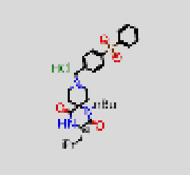 CCCCN1C(=O)[C@H](CC(C)C)NC(=O)C12CCN(Cc1ccc(S(=O)(=O)c3ccccc3)cc1)CC2.Cl